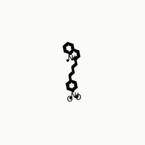 C[n+]1c(C=CC=Cc2ccc([N+](=O)[O-])cc2)ccc2ccccc21